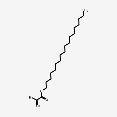 C=C(Br)C(=O)OCCCCCCCCCCCCCCCCCC